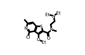 CCOc1c(C(=O)N(C)CCN(CC)CC)sc2cc(C)nc(Cl)c12